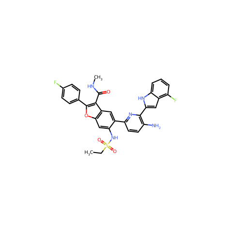 CCS(=O)(=O)Nc1cc2oc(-c3ccc(F)cc3)c(C(=O)NC)c2cc1-c1ccc(N)c(-c2cc3c(F)cccc3[nH]2)n1